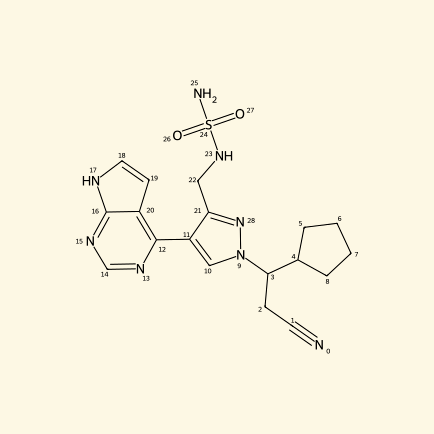 N#CCC(C1CCCC1)n1cc(-c2ncnc3[nH]ccc23)c(CNS(N)(=O)=O)n1